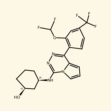 O[C@H]1CCC[C@@H](Nc2nnc(-c3ccc(C(F)(F)F)cc3OC(F)F)c3cccn23)C1